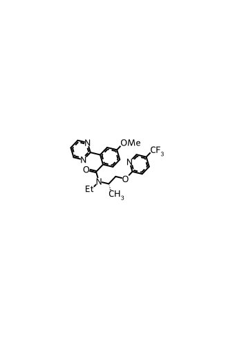 CCN(C(=O)c1ccc(OC)cc1-c1ncccn1)[C@@H](C)COc1ccc(C(F)(F)F)cn1